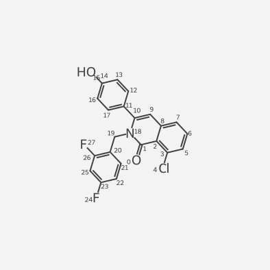 O=c1c2c(Cl)cccc2cc(-c2ccc(O)cc2)n1Cc1ccc(F)cc1F